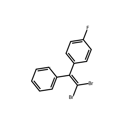 Fc1ccc(C(=C(Br)Br)c2[c]cccc2)cc1